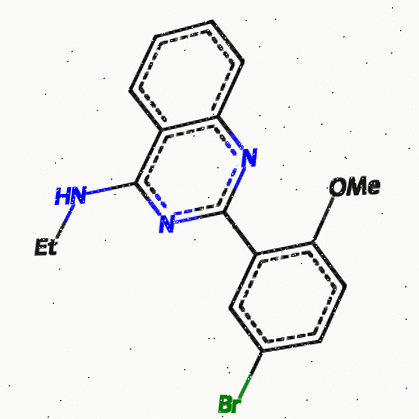 CCNc1nc(-c2cc(Br)ccc2OC)nc2ccccc12